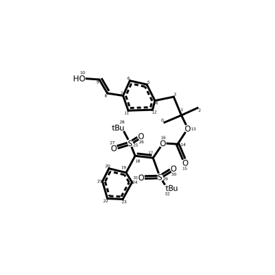 CC(C)(Cc1ccc(C=CO)cc1)OC(=O)OC(=C(c1ccccc1)S(=O)(=O)C(C)(C)C)S(=O)(=O)C(C)(C)C